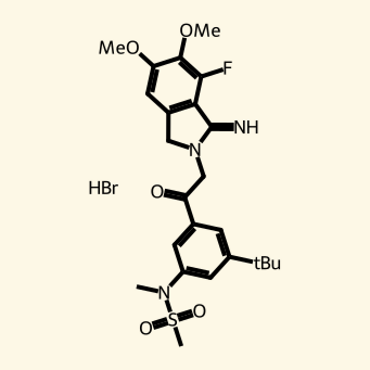 Br.COc1cc2c(c(F)c1OC)C(=N)N(CC(=O)c1cc(N(C)S(C)(=O)=O)cc(C(C)(C)C)c1)C2